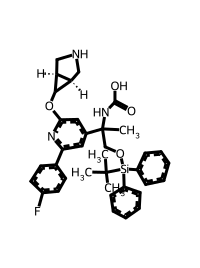 CC(CO[Si](c1ccccc1)(c1ccccc1)C(C)(C)C)(NC(=O)O)c1cc(OC2[C@H]3CNC[C@@H]23)nc(-c2ccc(F)cc2)c1